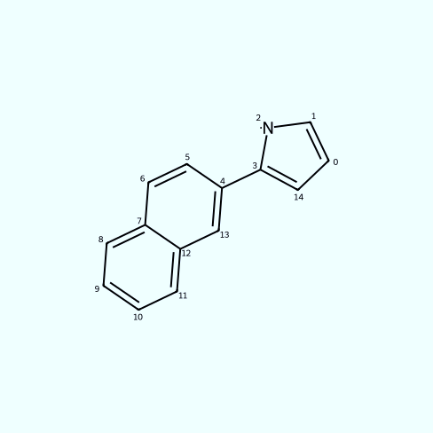 C1=C[N]C(c2ccc3ccccc3c2)=C1